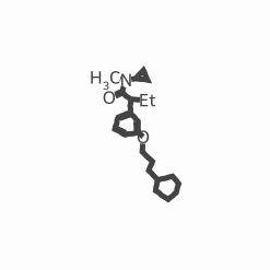 CCC(C(=O)N(C)C1CC1)c1cccc(OCCCC2CCCCC2)c1